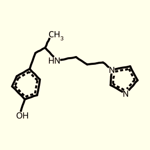 CC(Cc1ccc(O)cc1)NCCCn1ccnc1